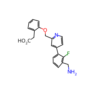 NCc1cccc(-c2ccnc(COc3ccccc3CC(=O)O)c2)c1F